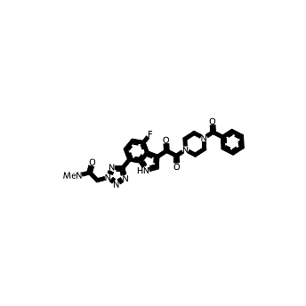 CNC(=O)Cn1nnc(-c2ccc(F)c3c(C(=O)C(=O)N4CCN(C(=O)c5ccccc5)CC4)c[nH]c23)n1